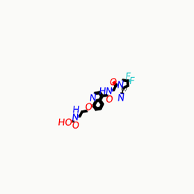 N#C[C@@H]1CC(F)(F)CN1C(=O)CNC(=O)c1ccnc2c(OCCCNC(=O)O)cccc12